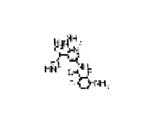 C=C(c1cc(NC(=O)c2c(F)ccc(N)c2F)cnc1NN)C1CNC1